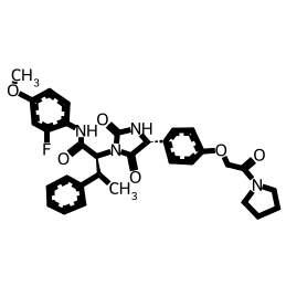 COc1ccc(NC(=O)[C@H](C(C)c2ccccc2)N2C(=O)N[C@H](c3ccc(OCC(=O)N4CCCC4)cc3)C2=O)c(F)c1